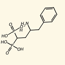 NC(Cc1ccccc1)CC(P(=O)(O)O)P(=O)(O)O